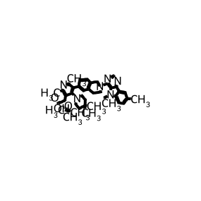 CCn1c2ccc(C)cc2c2ncnc(N3CCc4cc(-c5c(C)nc(C)c(C(OC(C)(C)C)C(=O)O)c5N5CCC(C)(C)CC5)ccc4C3)c21